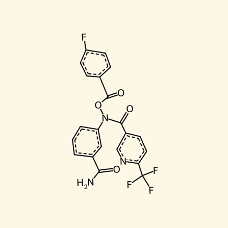 NC(=O)c1cccc(N(OC(=O)c2ccc(F)cc2)C(=O)c2ccc(C(F)(F)F)nc2)c1